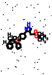 CC(C)(C)OC(=O)Cc1c[nH]nc1C1CCC(CO[Si](c2ccccc2)(c2ccccc2)C(C)(C)C)CC1